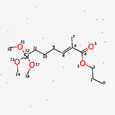 CCCOC(=O)C(C)=CCCC[Si](OC)(OC)OC